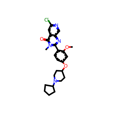 COc1cc(OC2CCN(C3CCCC3)CC2)ccc1-c1nc2cnc(Cl)cc2c(=O)n1C